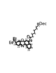 CCCCCCCCCCCCCCCCCC(=O)/N=c1\cc2oc3cc(N(CC)CC)ccc3nc-2c2ccccc12